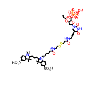 C=CCOC1CC(n2cc(C#CCNC(=O)CCSSCCNC(=O)CCCCC[N+]3=C(/C=C/C=C4/N(CC)c5ccc(S(=O)(=O)O)cc5C4(C)C)C(C)(C)c4cc(S(=O)(=O)O)ccc43)c(=O)[nH]c2=O)OC1COP(OO)(OOO)(P(=O)=O)P(=O)=O